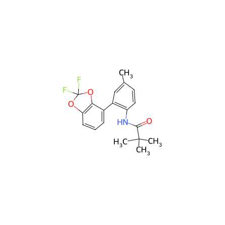 Cc1ccc(NC(=O)C(C)(C)C)c(-c2cccc3c2OC(F)(F)O3)c1